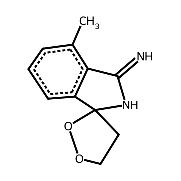 Cc1cccc2c1C(=N)NC21CCOO1